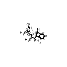 CC(C(=O)OC(C)(C)OC=O)C(C)c1c[nH]c2ccccc12